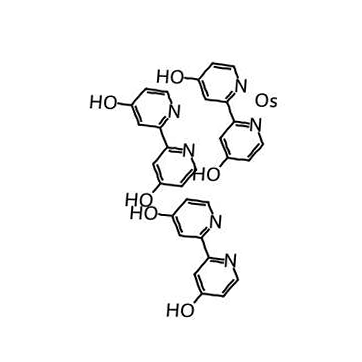 Oc1ccnc(-c2cc(O)ccn2)c1.Oc1ccnc(-c2cc(O)ccn2)c1.Oc1ccnc(-c2cc(O)ccn2)c1.[Os]